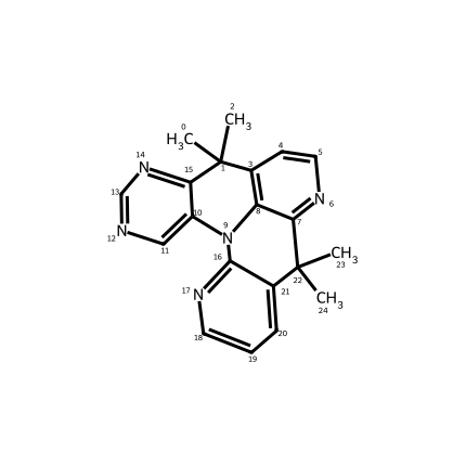 CC1(C)c2ccnc3c2N(c2cncnc21)c1ncccc1C3(C)C